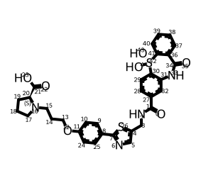 O=C(NCc1cnc(-c2ccc(OCCCN3CCC[C@H]3C(=O)O)cc2)s1)c1ccc2c(c1)NC(=O)c1ccccc1S2(O)O